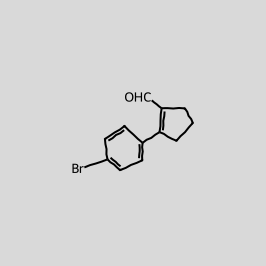 O=CC1=C(c2ccc(Br)cc2)CCC1